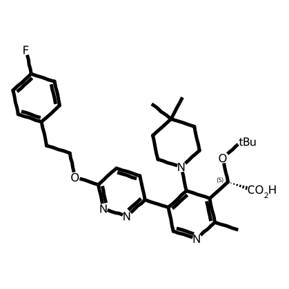 Cc1ncc(-c2ccc(OCCc3ccc(F)cc3)nn2)c(N2CCC(C)(C)CC2)c1[C@H](OC(C)(C)C)C(=O)O